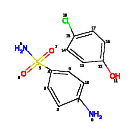 Nc1ccc(S(N)(=O)=O)cc1.Oc1ccc(Cl)cc1